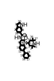 CC1(C)CC(NC(=O)C(Cc2ccc(-c3ccccc3)cc2)NC(=O)c2ccc3cc[nH]c3c2)CC(C)(C)N1